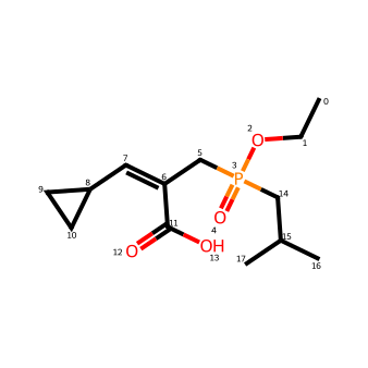 CCOP(=O)(C/C(=C/C1CC1)C(=O)O)CC(C)C